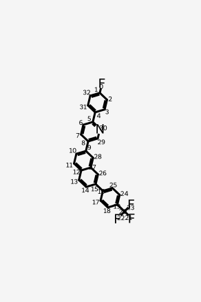 Fc1ccc(-c2ccc(-c3ccc4ccc(-c5ccc(C(F)(F)F)cc5)cc4c3)cn2)cc1